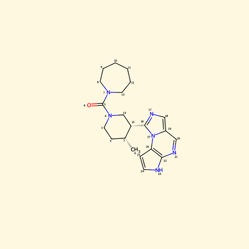 C[C@@H]1CCN(C(=O)N2CCCCCC2)C[C@@H]1c1ncc2cnc3[nH]ccc3n12